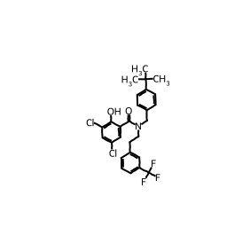 CC(C)(C)c1ccc(CN(CCc2cccc(C(F)(F)F)c2)C(=O)c2cc(Cl)cc(Cl)c2O)cc1